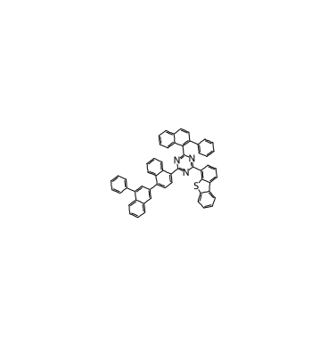 c1ccc(-c2ccc3ccccc3c2-c2nc(-c3ccc(-c4cc(-c5ccccc5)c5ccccc5c4)c4ccccc34)nc(-c3cccc4c3sc3ccccc34)n2)cc1